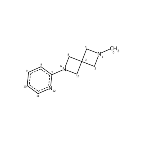 CN1CC2(C1)CN(c1cc[c]cn1)C2